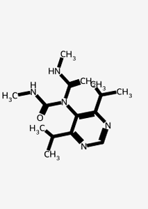 C=C(NC)N(C(=O)NC)c1c(C(C)C)ncnc1C(C)C